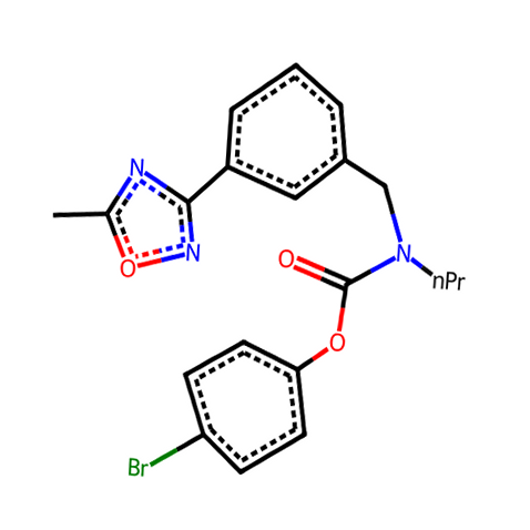 CCCN(Cc1cccc(-c2noc(C)n2)c1)C(=O)Oc1ccc(Br)cc1